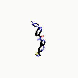 CN1CCN(c2ccc(C(=O)Nc3cc4cc(-c5cncs5)cnc4cn3)cn2)CC1